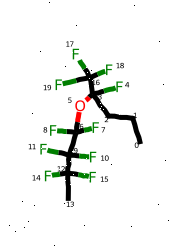 CCCC(F)(OC(F)(F)C(F)(F)C(C)(F)F)C(F)(F)F